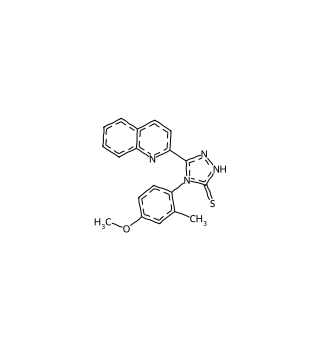 COc1ccc(-n2c(-c3ccc4ccccc4n3)n[nH]c2=S)c(C)c1